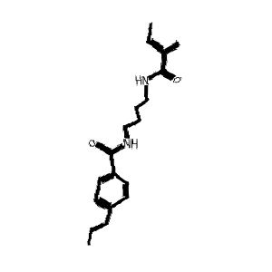 CC=C(C)C(=O)NCCCCNC(=O)c1ccc(/C=C/C)cc1